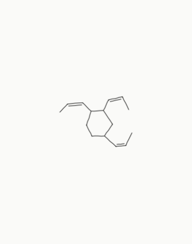 C/C=C\C1CCC(/C=C\C)C(/C=C\C)C1